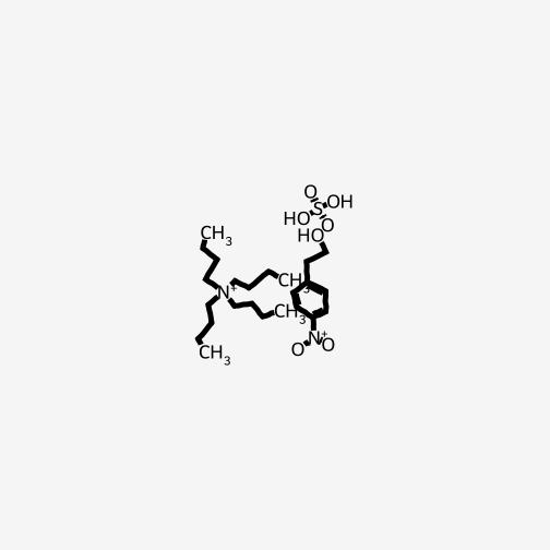 CCCC[N+](CCCC)(CCCC)CCCC.O=S(=O)(O)O.O=[N+]([O-])c1ccc(CCO)cc1